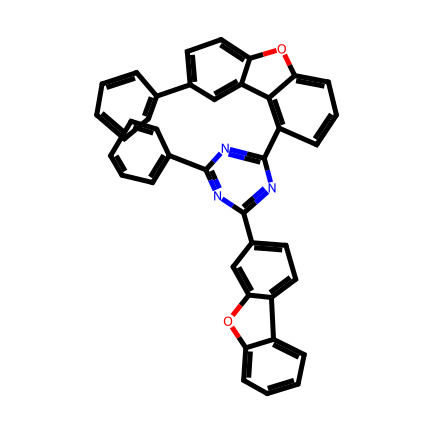 c1ccc(-c2ccc3oc4cccc(-c5nc(-c6ccccc6)nc(-c6ccc7c(c6)oc6ccccc67)n5)c4c3c2)cc1